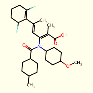 COC1CCC(N(C(=O)C2CCC(C)CC2)C(/C=C(\C)C2=C(F)CCCC2F)=C(/C)C(=O)O)CC1